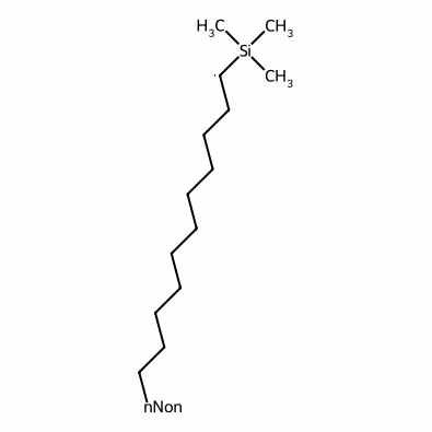 CCCCCCCCCCCCCCCCCCC[CH][Si](C)(C)C